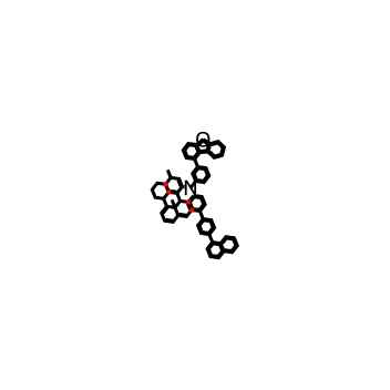 CC1C=C(N(c2ccc(-c3ccc(-c4cccc5ccccc45)cc3)cc2)c2cccc(-c3cccc4oc5ccccc5c34)c2)C(C2C=CC=C3C=CC=C(C4CCCCC4)C32C)=CC1